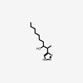 CCCCCCCC(O)C(C)c1c[nH]nn1